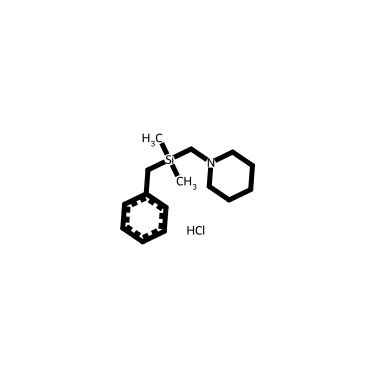 C[Si](C)(Cc1ccccc1)CN1CCCCC1.Cl